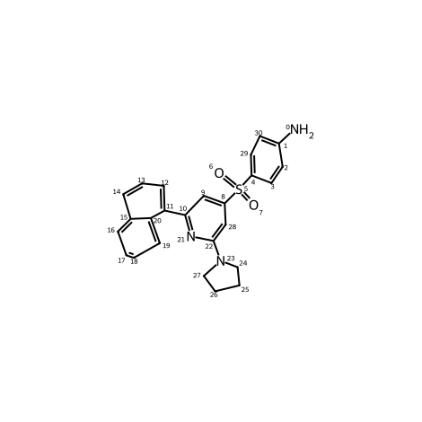 Nc1ccc(S(=O)(=O)c2cc(-c3cccc4ccccc34)nc(N3CCCC3)c2)cc1